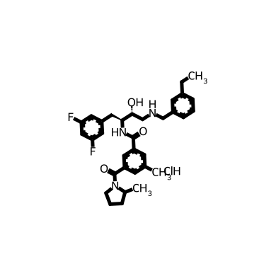 CCc1cccc(CNC[C@@H](O)[C@H](Cc2cc(F)cc(F)c2)NC(=O)c2cc(C)cc(C(=O)N3CCCC3C)c2)c1.Cl